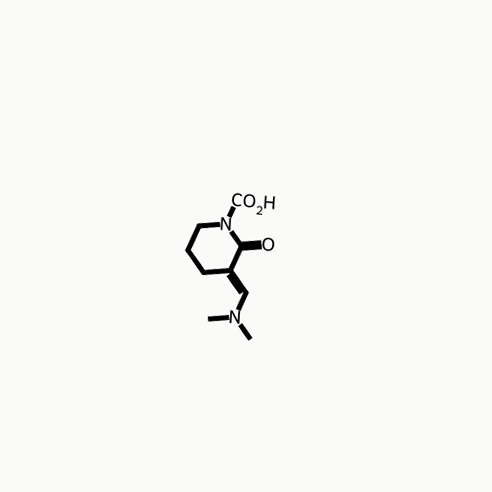 CN(C)/C=C1\CCCN(C(=O)O)C1=O